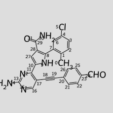 Cc1ccc(Cl)cc1-c1[nH]c(-c2nc(N)ncc2C#Cc2ccc(C=O)cc2)cc1C(N)=O